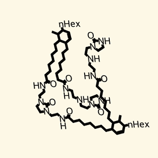 CCCCCCC1C=CC(CCCCCCCC(=O)NCCN2CCN(CCNC(=O)CCCCCCCC3C(CCCCCCCC(=O)NCCNCCN4CCNC4=O)C=CC(CCCCCC)C3C)C2=O)C(CCCCCCCC(=O)NCCNCCN2CCNC2=O)C1C